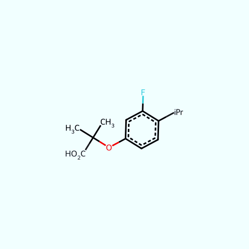 CC(C)c1ccc(OC(C)(C)C(=O)O)cc1F